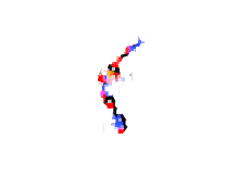 COC(=O)[C@@H](CNC(=O)c1ccc(CCc2ccc3c(n2)NCCC3)cc1)NS(=O)(=O)c1c(C)cc(OCCCC(=O)NCCN)cc1C